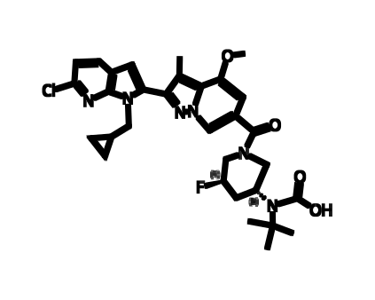 COc1cc(C(=O)N2C[C@H](F)C[C@@H](N(C(=O)O)C(C)(C)C)C2)cn2nc(-c3cc4ccc(Cl)nc4n3CC3CC3)c(C)c12